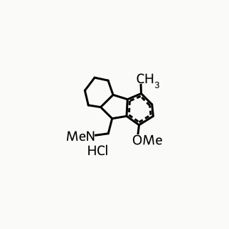 CNCC1c2c(OC)ccc(C)c2C2CCCCC21.Cl